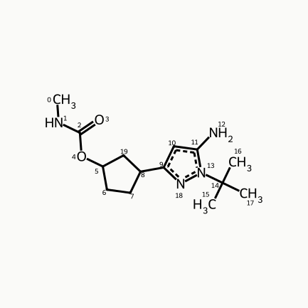 CNC(=O)OC1CCC(c2cc(N)n(C(C)(C)C)n2)C1